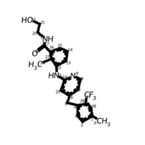 Cc1ccc(Cc2ccnc(Nc3cccc(C(=O)NCCO)c3C)c2)c(C(F)(F)F)c1